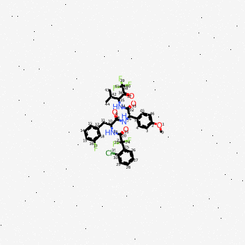 COc1ccc(C(NC(=O)C(Cc2cccc(F)c2)NC(=O)C(F)(F)c2ccccc2Cl)C(=O)NC(C(=O)C(F)(F)F)C(C)C)cc1